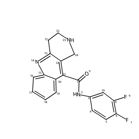 O=C(Nc1ccc(F)c(F)c1)c1c2c(nc3ccccc13)CCNC2